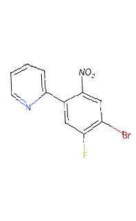 O=[N+]([O-])c1cc(Br)c(F)cc1-c1ccccn1